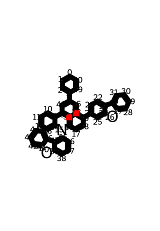 c1ccc(-c2cccc(-c3ccccc3N(c3ccc(-c4ccc5c(c4)oc4ccccc45)cc3)c3cccc4oc5ccccc5c34)c2)cc1